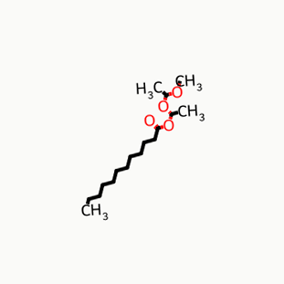 CCCCCCCCCCCC(=O)OC(C)OC(C)OC